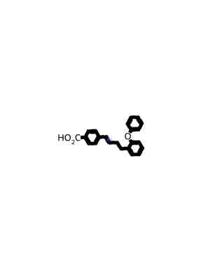 O=C(O)c1ccc(/C=C/CCc2ccccc2Oc2ccccc2)cc1